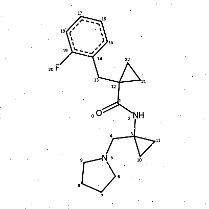 O=C(NC1(CN2CCCC2)CC1)C1(Cc2ccccc2F)CC1